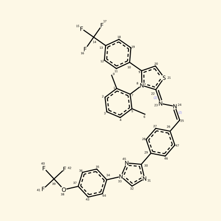 Cc1cccc(C)c1-n1c(-c2ccc(C(F)(F)F)cc2)cs/c1=N\N=C/c1ccc(-c2ncn(-c3ccc(OC(F)(F)F)cc3)n2)cc1